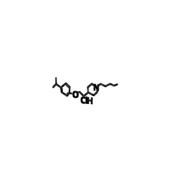 CCCCCN1CCC(CCOc2ccc(C(C)C)cc2)CC1.Cl